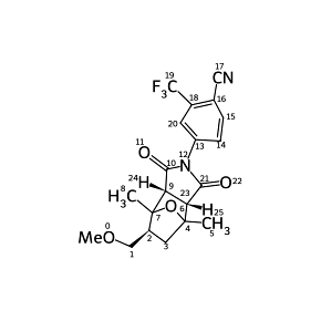 COC[C@@H]1CC2(C)OC1(C)[C@@H]1C(=O)N(c3ccc(C#N)c(C(F)(F)F)c3)C(=O)[C@@H]12